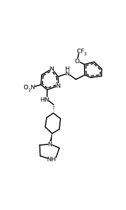 O=[N+]([O-])c1cnc(NCc2ccccc2OC(F)(F)F)nc1NC[C@H]1CC[C@H](N2CCNCC2)CC1